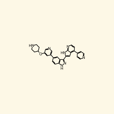 c1cc(-c2ccnc3[nH]c(-c4n[nH]c5ccc(-c6cncc(OC7CCNCC7)c6)cc45)cc23)ccn1